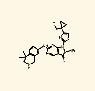 CC(C)n1c(=O)c2cnc(Nc3ccc4c(c3)CNCC4(C)C)nc2n1-c1nc(C2(CF)CC2)cs1